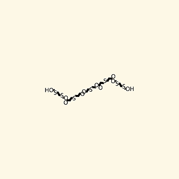 O=C(CCSCCC(=O)OCSCCSCO)OCCSCCOOCCCSCCC(=O)OCSCCSCO